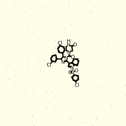 O=C1CN(C(=O)N2C(c3cn(S(=O)(=O)c4ccc(Cl)cc4)c4ccccc34)=NC(c3cccc(Cl)c3)C2c2ccc(Cl)cc2)CCN1